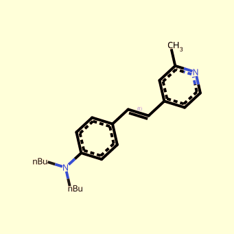 CCCCN(CCCC)c1ccc(/C=C/c2ccnc(C)c2)cc1